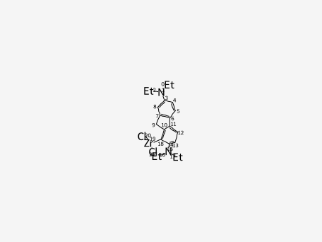 CCN(CC)c1ccc2c(c1)Cc1c-2ccc(N(CC)CC)[c]1[Zr]([Cl])[Cl]